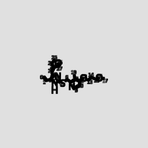 C=Cc1[nH]c(SCc2nccc(OCCCOC)c2C)nc1/C=C1/CCOC1